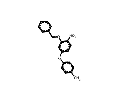 Cc1ccc(Oc2ccc([N+](=O)[O-])c(OCc3ccccc3)c2)cc1